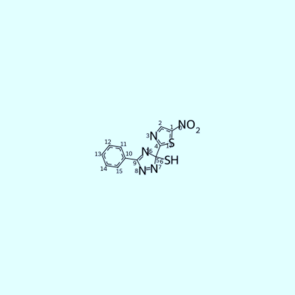 O=[N+]([O-])c1cnc(C2(S)N=NC(c3ccccc3)=N2)s1